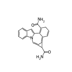 NC(=O)C1=C2C(=C3C(=Cn4c2cc2ccccc24)C3C(N)=O)C=CC1